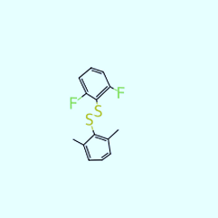 Cc1cccc(C)c1SSc1c(F)cccc1F